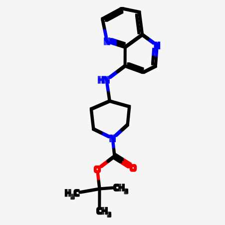 CC(C)(C)OC(=O)N1CCC(Nc2ccnc3cccnc23)CC1